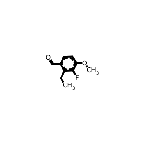 CCc1c(C=O)ccc(OC)c1F